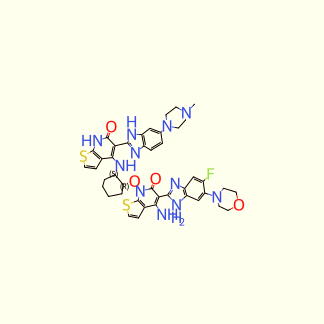 CN1CCN(c2ccc3nc(-c4c(N[C@H]5CCCC[C@H]5On5c(=O)c(-c6nc7cc(F)c(N8CCOCC8)cc7[nH]6)c(N)c6ccsc65)c5ccsc5[nH]c4=O)[nH]c3c2)CC1